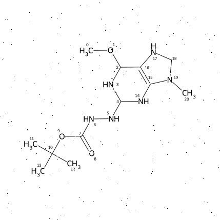 COC1NC(NNC(=O)OC(C)(C)C)NC2=C1NCN2C